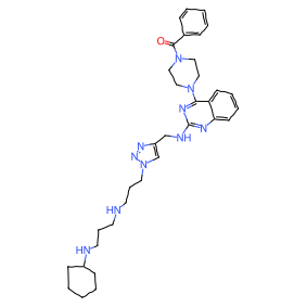 O=C(c1ccccc1)N1CCN(c2nc(NCc3cn(CCCNCCCNC4CCCCC4)nn3)nc3ccccc23)CC1